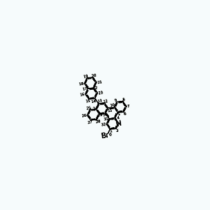 Brc1cnc2c3ccccc3c3cc(-c4ccc5ccccc5c4)c4ccccc4c3c2c1